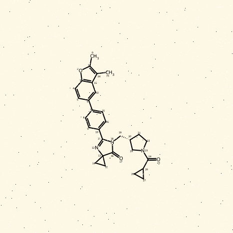 Cc1oc2ccc(-c3ccc(C4=NC5(CC5)C(=O)N4C[C@@H]4CCN(C(=O)C5CC5)C4)cc3)cc2c1C